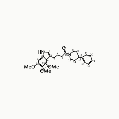 COc1cc2[nH]cc(CCCC(=O)N3CCC(c4ccccc4)CC3)c2c(OC)c1OC